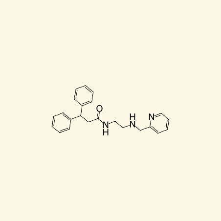 O=C(CC(c1ccccc1)c1ccccc1)NCCNCc1ccccn1